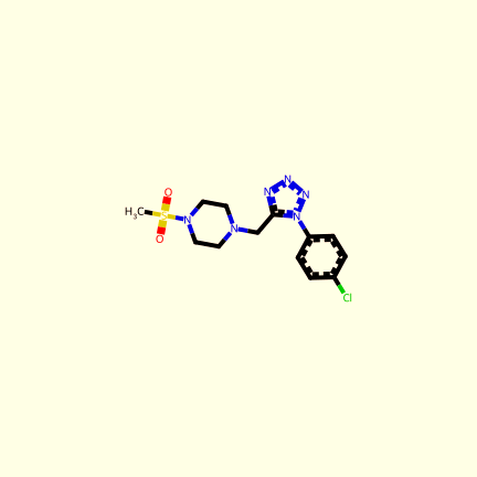 CS(=O)(=O)N1CCN(Cc2nnnn2-c2ccc(Cl)cc2)CC1